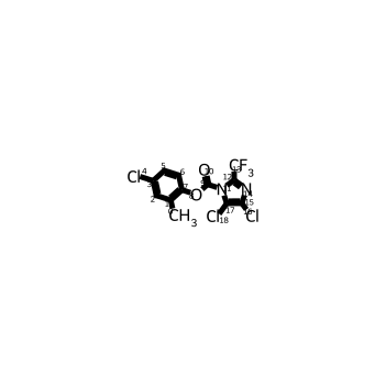 Cc1cc(Cl)ccc1OC(=O)n1c(C(F)(F)F)nc(Cl)c1Cl